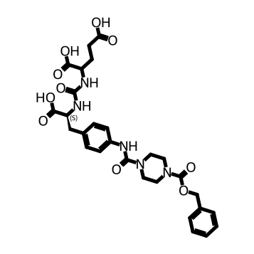 O=C(O)CCC(NC(=O)N[C@@H](Cc1ccc(NC(=O)N2CCN(C(=O)OCc3ccccc3)CC2)cc1)C(=O)O)C(=O)O